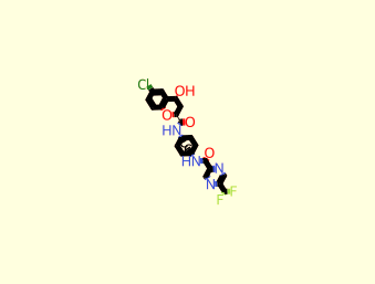 O=C(NC12CCC(NC(=O)[C@H]3C[C@@H](O)c4cc(Cl)ccc4O3)(CC1)CC2)c1cnc(C(F)F)cn1